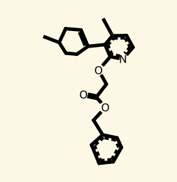 Cc1ccnc(OCC(=O)OCc2ccccc2)c1C1=CCC(C)CC1